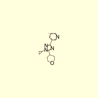 [c]1cncc(-c2nc(C3CCOCC3)n(C3CC3)n2)c1